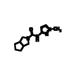 Cn1ccc(NC(=O)N2CC3CCCC3C2)n1